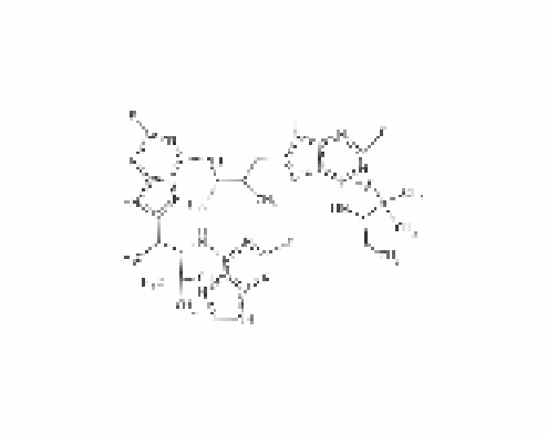 CC[C@@H](Nc1nc(F)nc2[nH]c(CC(C)[C@H](C)Nc3nc(F)nc4[nH]c(C(C)[C@H](Nc5nc(F)nc6[nH]cnc56)C(C)(C)C)nc34)nc12)C(C)(C)C